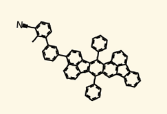 Cc1c(C#N)cccc1-c1cccc(-c2ccc3c4c(-c5ccccc5)c5c(cc6c7ccccc7c7cccc5c76)c(-c5ccccc5)c4c4cccc2c43)c1